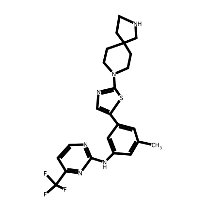 Cc1cc(Nc2nccc(C(F)(F)F)n2)cc(-c2cnc(N3CCC4(CCNC4)CC3)s2)c1